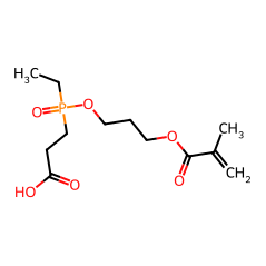 C=C(C)C(=O)OCCCOP(=O)(CC)CCC(=O)O